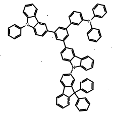 c1ccc(N(c2ccccc2)c2cccc(-c3cc(-c4ccc5c(c4)c4ccccc4n5-c4ccccc4)cc(-c4ccc5c(c4)c4ccccc4n5-c4ccc5c(c4)C(c4ccccc4)(c4ccccc4)c4ccccc4-5)c3)c2)cc1